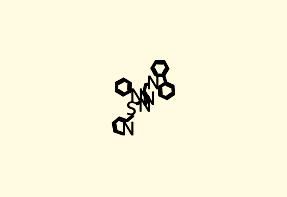 c1ccc(-n2c(Cn3c4ccccc4c4ccccc43)nnc2SCc2ccccn2)cc1